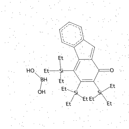 CC[Si](CC)(CC)C1=C2C(=Cc3ccccc32)C(=O)C([Si](CC)(CC)CC)=C1[Si](CC)(CC)CC.OBO